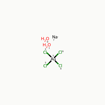 O.O.[Cl][Au]([Cl])([Cl])[Cl].[Na]